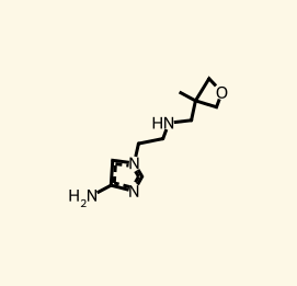 CC1(CNCCn2cnc(N)c2)COC1